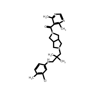 Cc1ccc(NCC(C)(C)CN2CC3CN(C(=O)c4c(C)ncnc4C)CC3C2)cc1Cl